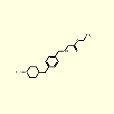 CCOC(=O)CNCc1ccc(CN2CCN(C)CC2)cc1